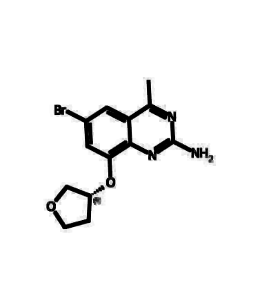 Cc1nc(N)nc2c(O[C@@H]3CCOC3)cc(Br)cc12